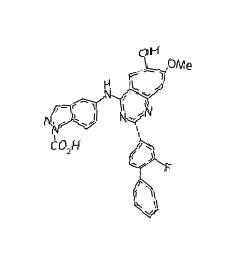 COc1cc2nc(-c3ccc(-c4ccccc4)c(F)c3)nc(Nc3ccc4c(cnn4C(=O)O)c3)c2cc1O